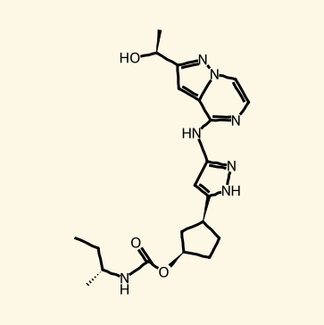 CC[C@@H](C)NC(=O)O[C@@H]1CC[C@H](c2cc(Nc3nccn4nc([C@H](C)O)cc34)n[nH]2)C1